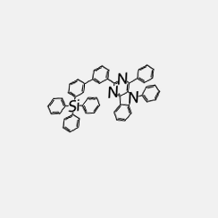 c1ccc(-c2nc(-c3cccc(-c4cccc([Si](c5ccccc5)(c5ccccc5)c5ccccc5)c4)c3)nc3c4ccccc4n(-c4ccccc4)c23)cc1